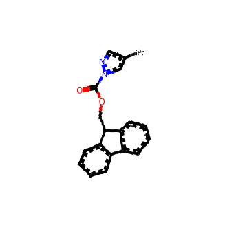 CC(C)c1cnn(C(=O)OCC2c3ccccc3-c3ccccc32)c1